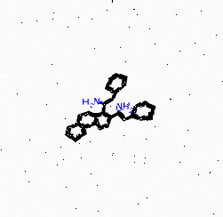 NC(=Cc1ccccc1)c1ccc2c(ccc3ccccc32)c1C(N)=Cc1ccccc1